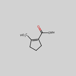 COC(=O)C1=C(C(=O)O)CCC1